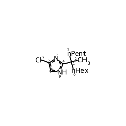 CCCCCCC(C)(CCCCC)c1nc(Cl)c[nH]1